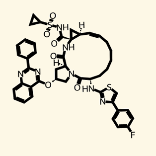 O=C1N[C@]2(C(=O)NS(=O)(=O)C3CC3)C[C@H]2/C=C\CCCCC[C@H](Nc2nc(-c3ccc(F)cc3)cs2)C(=O)N2C[C@H](Oc3nc(-c4ccccc4)nc4ccccc34)C[C@@H]12